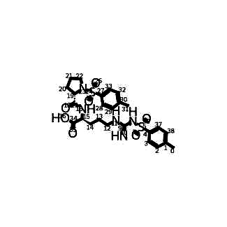 Cc1ccc(S(=O)(=O)NC(=N)NCCC[C@H](NC(=O)[C@@H]2CCCN2S(=O)(=O)c2ccc(C)cc2)C(=O)O)cc1